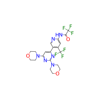 O=C(Nc1cc(C(F)(F)F)c(-c2cc(N3CCOCC3)nc(N3CCOCC3)n2)cn1)C(F)(F)F